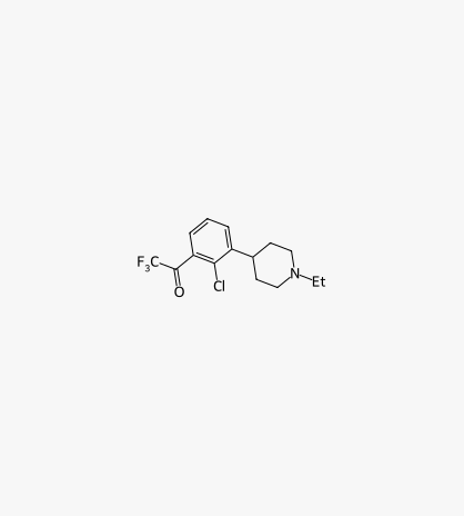 CCN1CCC(c2cccc(C(=O)C(F)(F)F)c2Cl)CC1